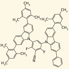 Cc1cc(C)c(-c2ccc3c(c2)c2ccc(-c4ccccc4)cc2n3-c2cc(-n3c4ccc(-c5c(C)cc(C)cc5C)cc4c4ccc(-c5c(C)cc(C)cc5C)cc43)c(F)c(C#N)c2F)c(C)c1